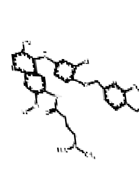 CCOc1cc2ncc(C#N)c(Nc3ccc(OCc4ccc5c(n4)OCCC5)c(Cl)c3)c2cc1NC(=O)CCCN(C)C